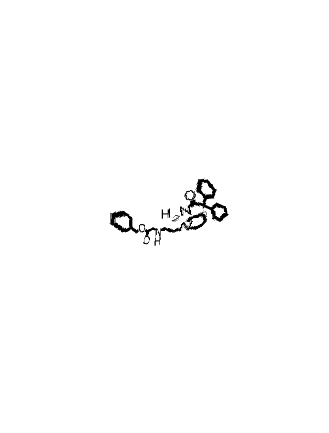 NC(=O)C(c1ccccc1)(c1ccccc1)[C@@H]1CCN(CCNCC(=O)OCc2ccccc2)C1